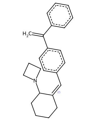 C=C(c1ccccc1)c1ccc(/C=C2/CCCCC2N2CCC2)cc1